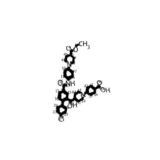 CCOC(=O)C1CCN(c2ccc(NC(=O)c3ccc(-c4ccc(Cl)cc4)c(C(O)C4CCN(c5ccc(C(=O)O)cc5)CC4)c3)cc2)CC1